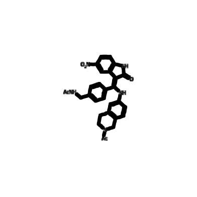 CC(=O)NCc1ccc(C(Nc2ccc3c(c2)CCN(C(C)=O)C3)=C2C(=O)Nc3ccc([N+](=O)[O-])cc32)cc1